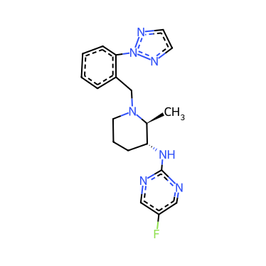 C[C@H]1[C@H](Nc2ncc(F)cn2)CCCN1Cc1ccccc1-n1nccn1